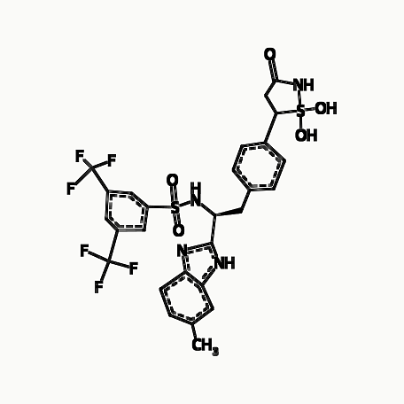 Cc1ccc2nc([C@H](Cc3ccc(C4CC(=O)NS4(O)O)cc3)NS(=O)(=O)c3cc(C(F)(F)F)cc(C(F)(F)F)c3)[nH]c2c1